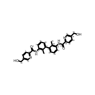 Cc1c(NC(=O)c2ccc(CO)cn2)cccc1-c1cccc(NC(=O)c2ccc(CO)cn2)c1C